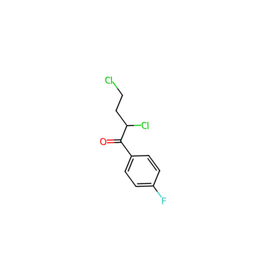 O=C(c1ccc(F)cc1)C(Cl)CCCl